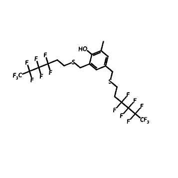 Cc1cc(CSCCC(F)(F)C(F)(F)C(F)(F)C(F)(F)F)cc(CSCCC(F)(F)C(F)(F)C(F)(F)C(F)(F)F)c1O